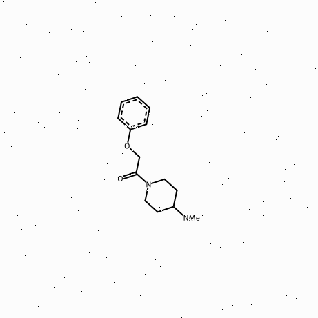 CNC1CCN(C(=O)COc2ccccc2)CC1